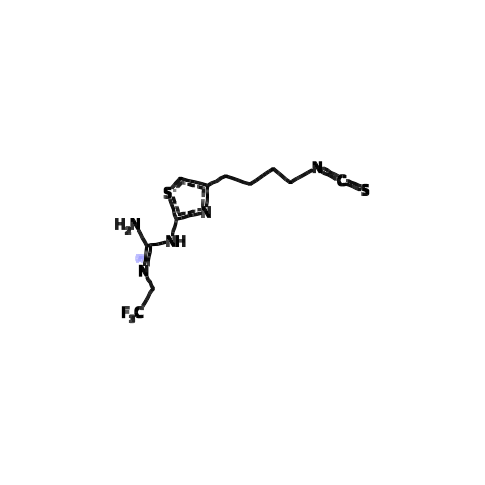 N/C(=N/CC(F)(F)F)Nc1nc(CCCCN=C=S)cs1